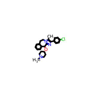 Cc1c(-c2ccc(Cl)cc2)nc2n1CCc1ccccc1C2OC1CCN(C)CC1